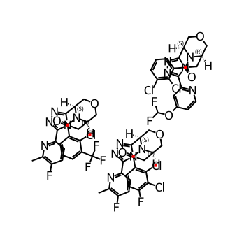 Cc1nc(-c2nnc3n2C[C@@H]2COC[C@H]3N2C(=O)c2ccc(F)c(Cl)c2Cl)ccc1F.Cc1nc(-c2nnc3n2C[C@@H]2COC[C@H]3N2C(=O)c2cccc(C(F)(F)F)c2Cl)ccc1F.O=C(c1cccc(Cl)c1Cl)N1[C@H]2COC[C@@H]1c1nnc(-c3cc(OC(F)F)ccn3)n1C2